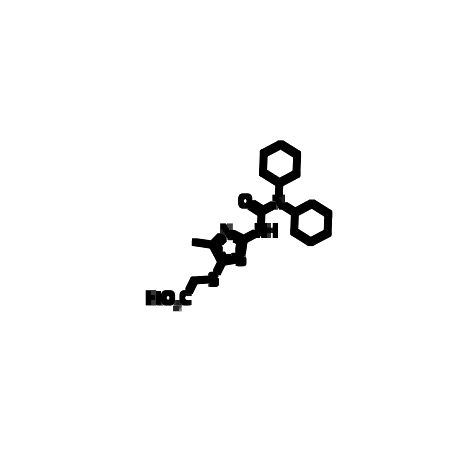 CCOC(=O)CSc1sc(NC(=O)N(C2CCCCC2)C2CCCCC2)nc1C